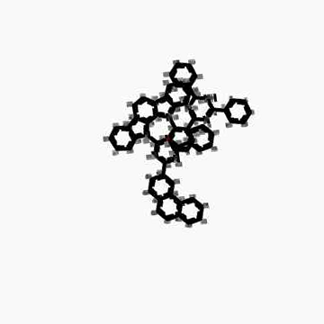 c1ccc(C2=NC(c3ccccc3-n3c4ccccc4c4ccc5c6ccccc6n(-c6nc(-c7ccccc7)nc(-c7ccc8ccc9ccccc9c8c7)n6)c5c43)=NC(c3ccccc3)N2)cc1